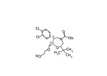 CC(C)(C)C1CN(C(=O)O)C[C@@H](c2ccc(Cl)c(Cl)c2)[C@H](COCCO)O1